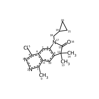 Cc1nnc(Cl)c2cc3c(cc12)C(C)(C)C(=O)N3CC1CC1